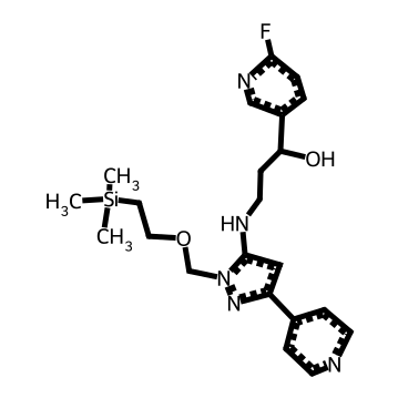 C[Si](C)(C)CCOCn1nc(-c2ccncc2)cc1NCCC(O)c1ccc(F)nc1